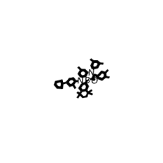 Cc1cc(C)cc(N2c3cc(C)cc4c3B(c3cc5c(cc3N4c3ccc(-c4ccccc4)cc3C)C(C)(C)CCC5(C)C)c3oc4cc(C)c(C)cc4c32)c1